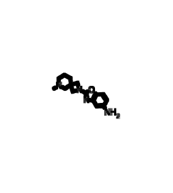 CN1CCCC2(C1)CN(c1nc3cc(N)ccc3o1)C2